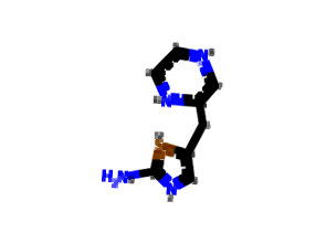 Nc1ncc(Cc2cnccn2)s1